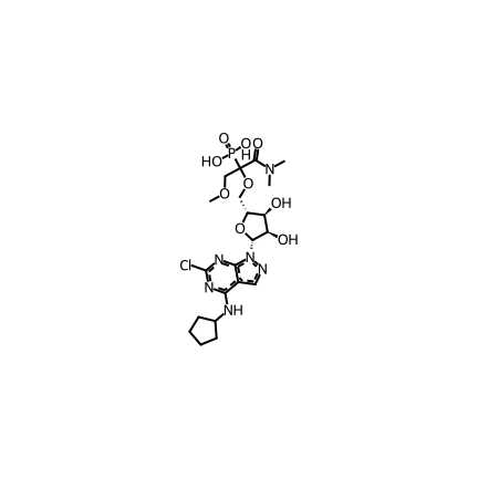 COCC(OC[C@H]1O[C@@H](n2ncc3c(NC4CCCC4)nc(Cl)nc32)[C@H](O)[C@@H]1O)(C(=O)N(C)C)P(=O)(O)O